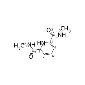 CNC(=O)C1=CC=CC(C(=O)NC)N1